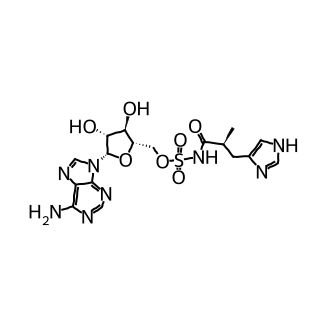 C[C@@H](Cc1c[nH]cn1)C(=O)NS(=O)(=O)OC[C@@H]1O[C@H](n2cnc3c(N)ncnc32)[C@H](O)[C@H]1O